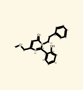 COCc1cc(=O)n(CCc2ccccc2)c(-c2ccccc2O)n1